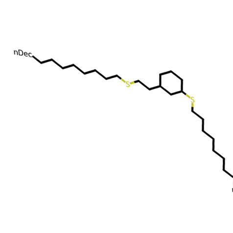 CCCCCCCCCCCCCCCCCCSCCC1CCCC(SCCCCCCCCCCCCCCCCCC)C1